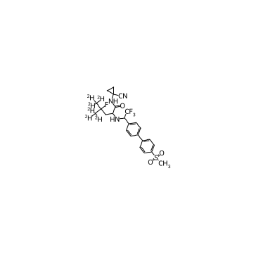 [2H]C([2H])([2H])C(F)(CC(NC(c1ccc(-c2ccc(S(C)(=O)=O)cc2)cc1)C(F)(F)F)C(=O)NC1(C#N)CC1)C([2H])([2H])[2H]